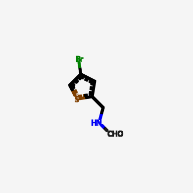 O=CNCc1cc(Br)cs1